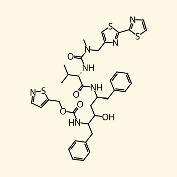 CC(C)[C@H](NC(=O)N(C)Cc1csc(-c2nccs2)n1)C(=O)N[C@@H](Cc1ccccc1)CC(O)C(Cc1ccccc1)NC(=O)OCc1ccns1